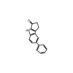 O=C1CCc2c1[nH]c1ccc(-c3ccccc3)cc21